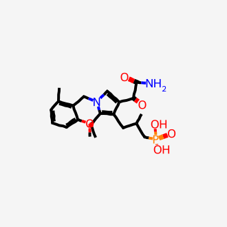 CCc1c(CC(C)CP(=O)(O)O)c(C(=O)C(N)=O)cn1Cc1c(C)cccc1OC